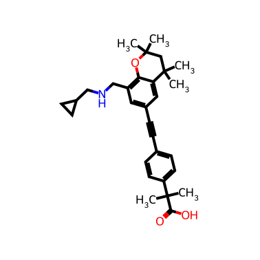 CC1(C)CC(C)(C)c2cc(C#Cc3ccc(C(C)(C)C(=O)O)cc3)cc(CNCC3CC3)c2O1